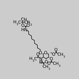 CC(=O)N[C@H]1[C@H](OCCCCCCCCCNC(=O)OC(C)(C)C)O[C@H](COC(C)=O)[C@H](OC(C)=O)[C@@H]1OC(C)=O